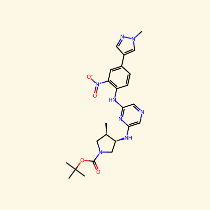 C[C@@H]1CN(C(=O)OC(C)(C)C)C[C@@H]1Nc1cncc(Nc2ccc(-c3cnn(C)c3)cc2[N+](=O)[O-])n1